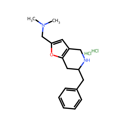 CN(C)Cc1cc2c(o1)CC(Cc1ccccc1)NC2.Cl.Cl